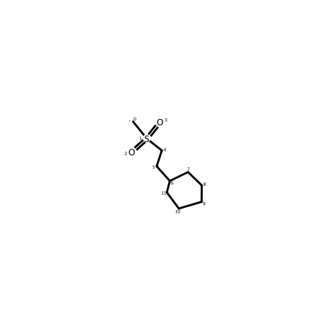 [CH2]S(=O)(=O)CCC1CCCCC1